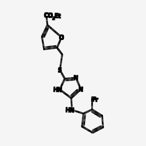 CCOC(=O)c1ccc(CSc2nnc(Nc3ccccc3C(C)C)[nH]2)o1